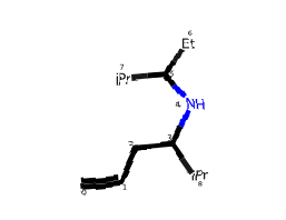 C=CCC(NC(CC)C(C)C)C(C)C